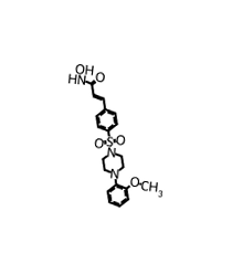 COc1ccccc1N1CCN(S(=O)(=O)c2ccc(/C=C/C(=O)NO)cc2)CC1